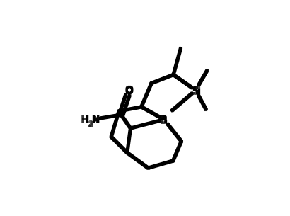 CC(CC1CCC2CCCB1C2C(N)=O)[Si](C)(C)C